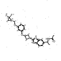 CC(=O)NC(C)c1ccc2nc(N3CC(Oc4cccc(OC[C@H]5CC5(F)F)c4)C3)oc2c1